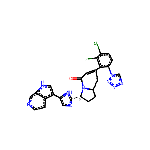 O=C1C=C(c2c(-n3cnnn3)ccc(Cl)c2F)CC2CC[C@H](c3ncc(-c4c[nH]c5cnccc45)[nH]3)N12